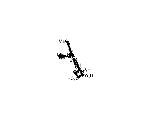 COCCOCCOCCOCCNC(=O)[C@H](CCC(=O)NC1CCC(NC(=O)CCC(C(=O)O)N2CCN(CC(=O)O)CCN(CC(=O)O)CCN(CC(=O)O)CC2)CC1)NC(=O)CCCCC(=O)Oc1c(F)c(F)cc(F)c1F